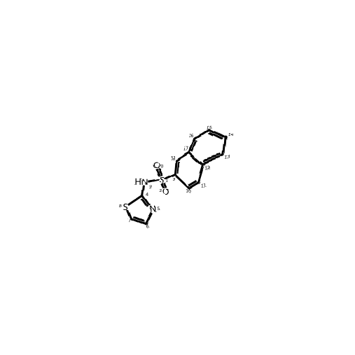 O=S(=O)(Nc1nccs1)c1ccc2ccccc2c1